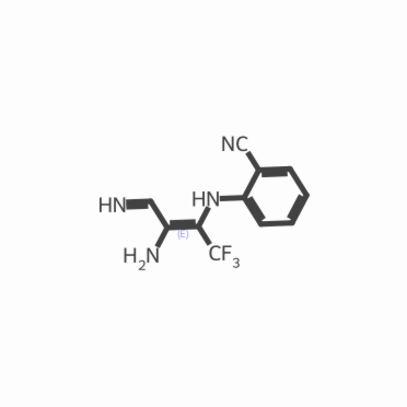 N#Cc1ccccc1N/C(=C(/N)C=N)C(F)(F)F